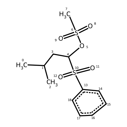 CC(C)CC(OS(C)(=O)=O)S(=O)(=O)c1ccccc1